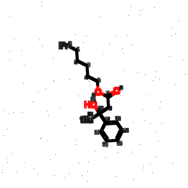 CC(C)CCCCCOC(=O)CC(O)(c1ccccc1)C(C)(C)C